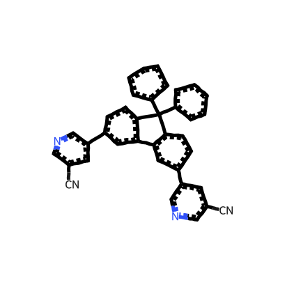 N#Cc1cncc(-c2ccc3c(c2)-c2cc(-c4cncc(C#N)c4)ccc2C3(c2ccccc2)c2ccccc2)c1